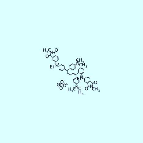 CCN(c1ccc2c(c1)C(=O)N(C)C2=O)c1ccccc1C(=CC=CC(=C1C=CC(=[N+](CC)c2ccc3c(c2)C(=O)N(C)C3=O)C=C1)c1ccc(N(C)C)cc1)c1ccc(N(C)C)cc1.[O-][Cl+3]([O-])([O-])[O-]